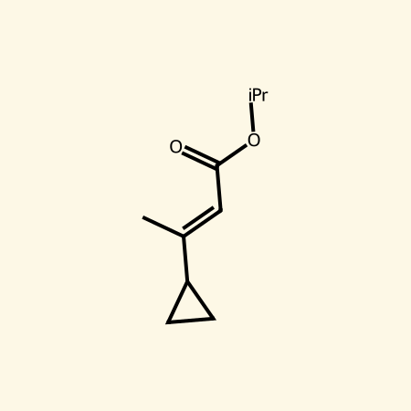 C/C(=C\C(=O)OC(C)C)C1CC1